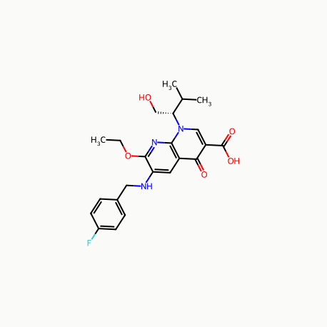 CCOc1nc2c(cc1NCc1ccc(F)cc1)c(=O)c(C(=O)O)cn2[C@H](CO)C(C)C